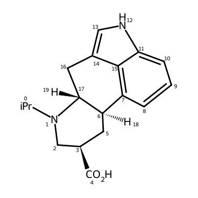 CC(C)N1C[C@H](C(=O)O)C[C@@H]2c3cccc4[nH]cc(c34)C[C@H]21